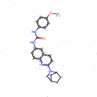 O=C(Nc1ccc(OC(F)(F)F)cc1)Nc1ccc2nc(N3CC4CCC3C4)ccc2c1